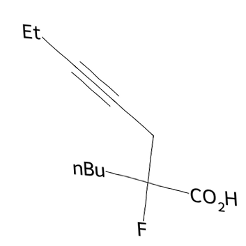 CCC#CCC(F)(CCCC)C(=O)O